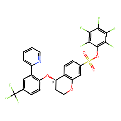 O=S(=O)(Oc1c(F)c(F)c(F)c(F)c1F)c1ccc2c(c1)OCC[C@H]2Oc1ccc(C(F)(F)F)cc1-c1ccccn1